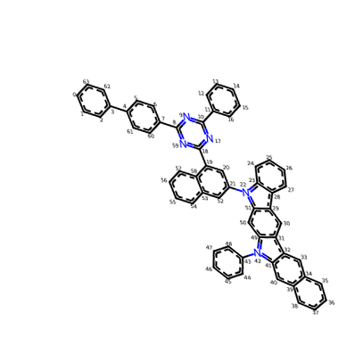 c1ccc(-c2ccc(-c3nc(-c4ccccc4)nc(-c4cc(-n5c6ccccc6c6cc7c8cc9ccccc9cc8n(-c8ccccc8)c7cc65)cc5ccccc45)n3)cc2)cc1